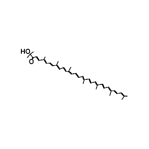 CC(C)=C/C=C/C(C)=C/C=C/C(C)=C/C=C/C(C)=C/C=C/C=C(C)/C=C/C=C(C)/C=C/C=C(C)/C=C/C(=O)C(C)(C)O